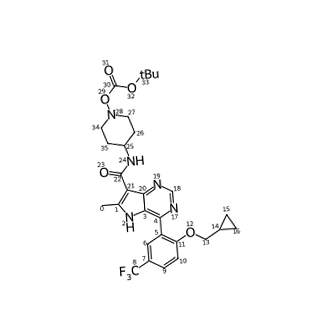 Cc1[nH]c2c(-c3cc(C(F)(F)F)ccc3OCC3CC3)ncnc2c1C(=O)NC1CCN(OC(=O)OC(C)(C)C)CC1